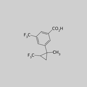 CC1(c2cc(C(=O)O)cc(C(F)(F)F)c2)CC1C(F)(F)F